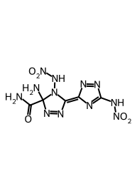 NC(=O)C1(N)N=NC(=C2N=NC(N[N+](=O)[O-])=N2)N1N[N+](=O)[O-]